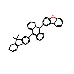 CC1(C)C2=C(C=CCC2)c2ccc(C3=c4ccccc4=C(c4ccc5c(c4)C4C=CC=CC4O5)C4CC=CC=C34)cc21